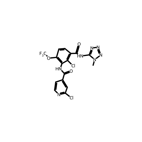 Cn1nnnc1NC(=O)c1ccc(OC(F)(F)F)c(NC(=O)c2ccnc(Cl)c2)c1Cl